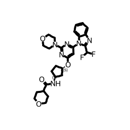 O=C(N[C@H]1CC[C@H](Oc2cc(-n3c(C(F)F)nc4ccccc43)nc(N3CCOCC3)n2)C1)C1CCOCC1